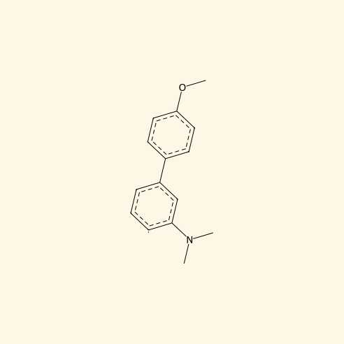 COc1ccc(-c2cc[c]c(N(C)C)c2)cc1